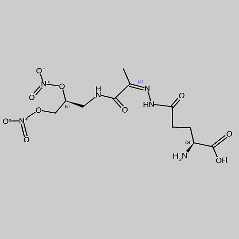 C/C(=N/NC(=O)CC[C@H](N)C(=O)O)C(=O)NC[C@@H](CO[N+](=O)[O-])O[N+](=O)[O-]